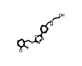 OCCNCc1ccc(-c2nnc(SCc3cccc(Cl)c3F)o2)cc1